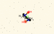 CC1(C)C(/C=C/C2=C(Cl)C(=C/C=C3/N(CCCCS(=O)(=O)O)c4ccccc4C3(C)C)/CC2)=[N+](CCCCSOOO)c2ccccc21